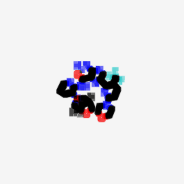 Nc1ncc(-c2nc(N3CCOCC3)ccc2C(F)(F)F)nc1C(=O)Nc1ncccc1N1C[C@@H]2CO[C@H](C1)C2I